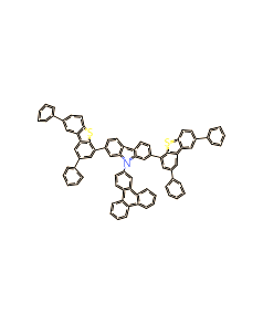 c1ccc(-c2ccc3sc4c(-c5ccc6c7ccc(-c8cc(-c9ccccc9)cc9c8sc8ccc(-c%10ccccc%10)cc89)cc7n(-c7ccc8c9ccccc9c9ccccc9c8c7)c6c5)cc(-c5ccccc5)cc4c3c2)cc1